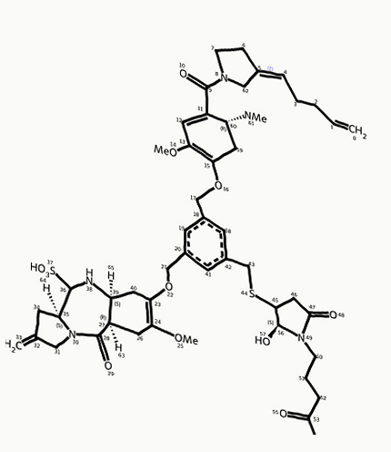 C=CCC/C=C1/CCN(C(=O)C2=CC(OC)=C(OCc3cc(COC4=C(OC)C[C@H]5C(=O)N6CC(=C)C[C@H]6C(S(=O)(=O)O)N[C@H]5C4)cc(CSC4CC(=O)N(CCCC(N)=O)[C@H]4O)c3)C[C@H]2NC)C1